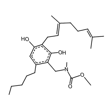 CCCCCc1cc(O)c(C/C=C(\C)CCC=C(C)C)c(O)c1CN(C)C(=O)OC